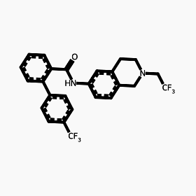 O=C(Nc1ccc2c(c1)CCN(CC(F)(F)F)C2)c1ccccc1-c1ccc(C(F)(F)F)cc1